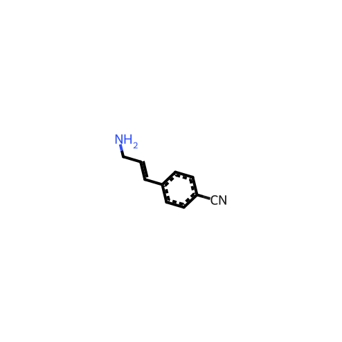 N#Cc1ccc(C=CCN)cc1